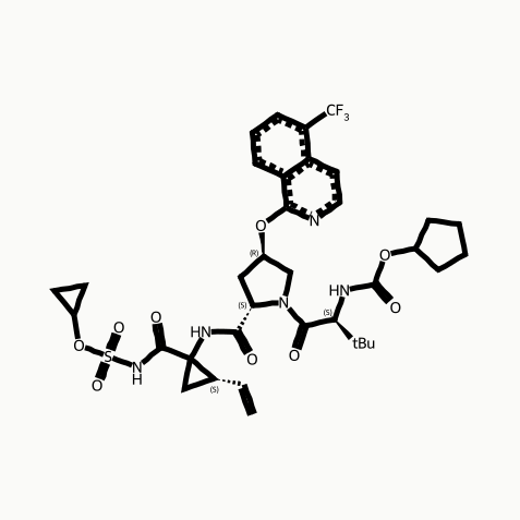 C=C[C@@H]1CC1(NC(=O)[C@@H]1C[C@@H](Oc2nccc3c(C(F)(F)F)cccc23)CN1C(=O)[C@@H](NC(=O)OC1CCCC1)C(C)(C)C)C(=O)NS(=O)(=O)OC1CC1